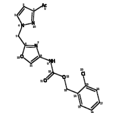 CC(=O)c1ccn(Cc2nc(NC(=O)OCc3ccccc3Cl)co2)n1